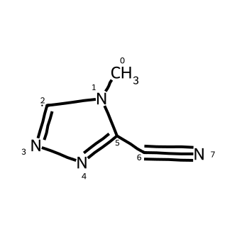 Cn1[c]nnc1C#N